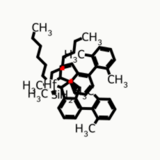 CCCCC[CH2][Hf]([CH3])([CH3])(=[SiH2])([CH2]CCCCC)([CH]1C=Cc2c(-c3c(C)cccc3C)cccc21)[CH]1C=Cc2c(-c3c(C)cccc3C)cccc21